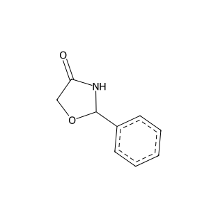 O=C1COC(c2ccccc2)N1